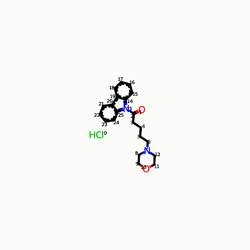 Cl.O=C(CCCCN1CCOCC1)n1c2ccccc2c2ccccc21